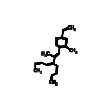 C=C\C=C/C(=C/C=C\C)C(/C)=C/c1ccc(C=C)cc1C